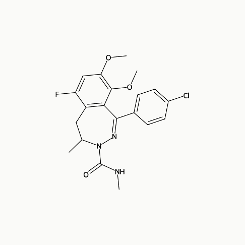 CNC(=O)N1N=C(c2ccc(Cl)cc2)c2c(c(F)cc(OC)c2OC)CC1C